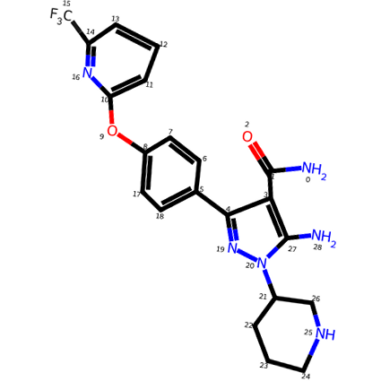 NC(=O)c1c(-c2ccc(Oc3cccc(C(F)(F)F)n3)cc2)nn(C2CCCNC2)c1N